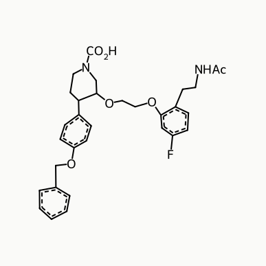 CC(=O)NCCc1ccc(F)cc1OCCOC1CN(C(=O)O)CCC1c1ccc(OCc2ccccc2)cc1